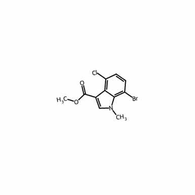 COC(=O)c1cn(C)c2c(Br)ccc(Cl)c12